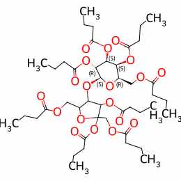 CCCC(=O)OCC1OC(COC(=O)CCC)(OC(=O)CCC)C(OC(=O)CCC)C1O[C@@H]1O[C@H](COC(=O)CCC)[C@H](OC(=O)CCC)[C@H](OC(=O)CCC)[C@H]1OC(=O)CCC